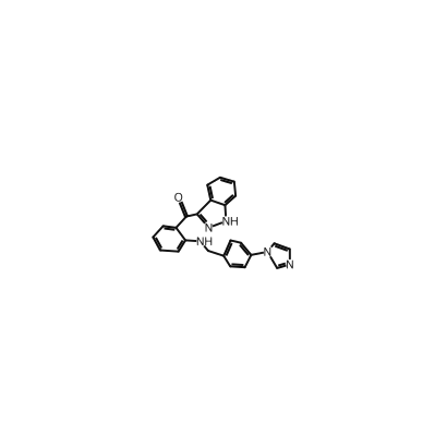 O=C(c1ccccc1NCc1ccc(-n2ccnc2)cc1)c1n[nH]c2ccccc12